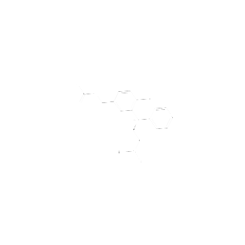 CC(C)C(=O)OCc1ccc(O)c([C@H](CCN(C(C)C)C(C)C)c2ccccc2)c1